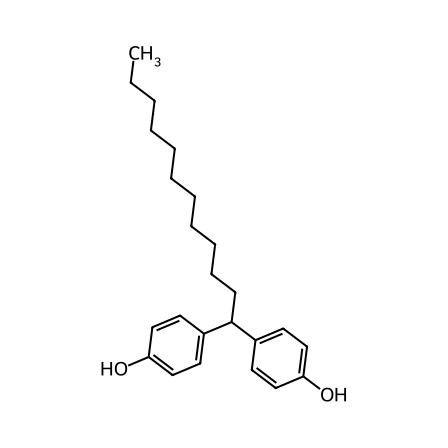 CCCCCCCCCCCC(c1ccc(O)cc1)c1ccc(O)cc1